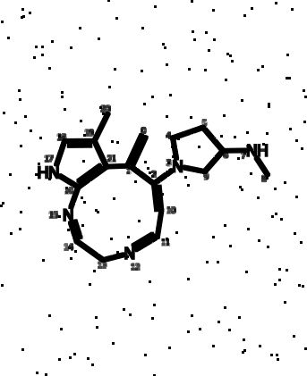 C=C1/C(N2CCC(NC)C2)=C\C=N/C/C=N\c2[nH]cc(C)c21